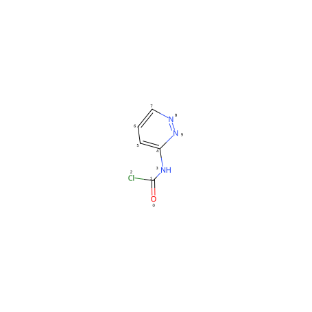 O=C(Cl)Nc1cccnn1